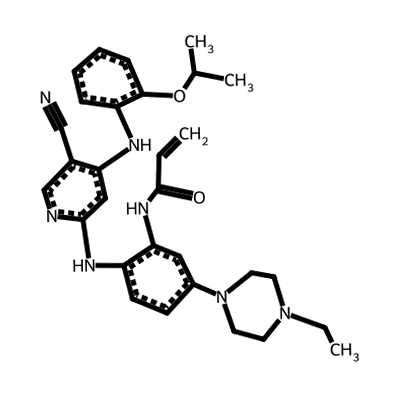 C=CC(=O)Nc1cc(N2CCN(CC)CC2)ccc1Nc1cc(Nc2ccccc2OC(C)C)c(C#N)cn1